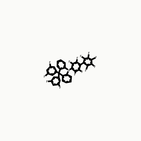 Fc1cc(F)cc(C2(c3cc(F)cc(F)c3)c3ccccc3N(c3c(F)c(F)c(-c4c(F)c(F)c(F)c(F)c4F)c(F)c3F)c3ccccc32)c1